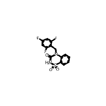 O=C1NS(=O)(=O)c2ccccc2N1Cc1c(F)cc(F)cc1F